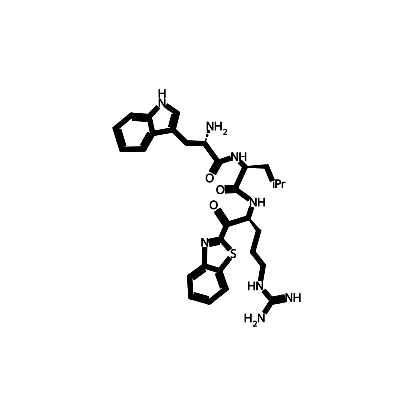 CC(C)C[C@H](NC(=O)[C@@H](N)Cc1c[nH]c2ccccc12)C(=O)N[C@@H](CCCNC(=N)N)C(=O)c1nc2ccccc2s1